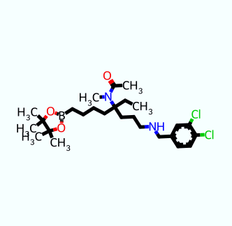 CCC(CCCCB1OC(C)(C)C(C)(C)O1)(CCCNCc1ccc(Cl)c(Cl)c1)N(C)C(C)=O